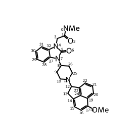 CNC(=O)Cn1c(=O)n(C2CCN(C3Cc4ccc(OC)c5cccc3c45)CC2)c2ccccc21